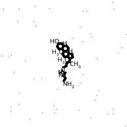 C[C@H](CCCn1cc(CCN)nn1)C1CC[C@H]2C3CC[C@@H]4C[C@H](O)CC[C@]4(C)C3CC[C@]12C